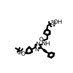 CC(C)(Cc1ccc(CC(=O)Nc2ncc(-c3ccc(O[Si](C)(C)C(C)(C)C)cc3)nc2C#Cc2ccccc2)cc1)[Si](C)(C)O